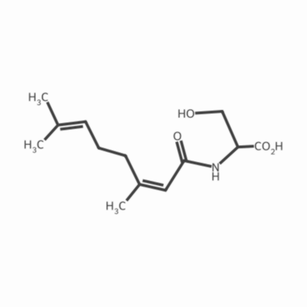 CC(C)=CCCC(C)=CC(=O)NC(CO)C(=O)O